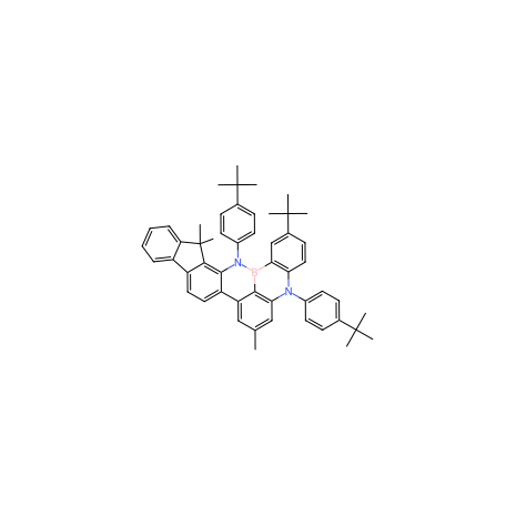 Cc1cc2c3c(c1)N(c1ccc(C(C)(C)C)cc1)c1ccc(C(C)(C)C)cc1B3N(c1ccc(C(C)(C)C)cc1)c1c-2ccc2c1C(C)(C)c1ccccc1-2